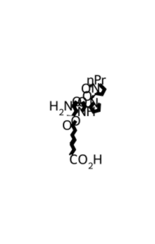 CCCC(=O)N1CCC[C@H]1C(=O)N1CCC[C@H]1C(=O)NC(C(N)=O)[C@@H](C)OC(=O)CC/C=C/CCC(=O)O